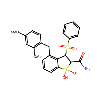 COc1ccc(Cc2cccc3c2C(S(=O)(=O)c2ccccc2)C(C(N)=O)S3(O)O)c(OC)c1